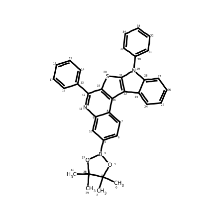 CC1(C)OB(c2ccc3c(c2)nc(-c2ccccc2)c2sc4c(c5ccccc5n4-c4ccccc4)c23)OC1(C)C